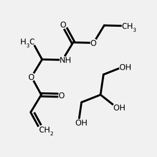 C=CC(=O)OC(C)NC(=O)OCC.OCC(O)CO